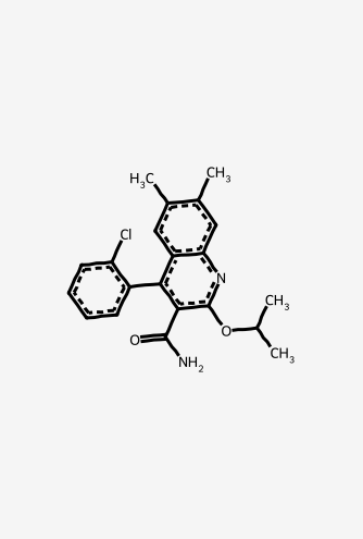 Cc1cc2nc(OC(C)C)c(C(N)=O)c(-c3ccccc3Cl)c2cc1C